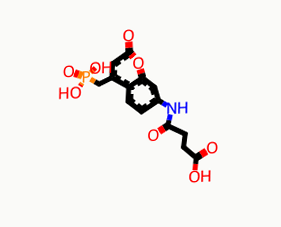 O=C(O)CCC(=O)Nc1ccc2c(CP(=O)(O)O)cc(=O)oc2c1